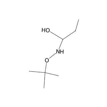 CCC(O)NOC(C)(C)C